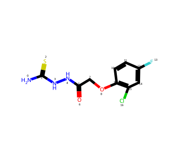 NC(=S)NNC(=O)COc1ccc(F)cc1Cl